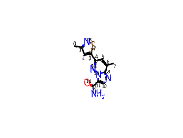 Cc1cc(-c2cc(C)c3ncc(C(N)=O)n3n2)sn1